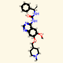 COc1cc2c(NC(=O)N[C@H](C)c3ccccc3)ncnc2cc1OCC1CCN(C)CC1